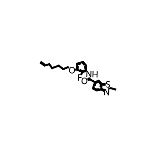 C=CCCCCCOc1cccc(NC(=O)c2ccc3nc(C)sc3c2)c1F